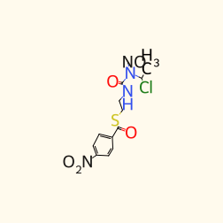 CC(Cl)N(N=O)C(=O)NCCSC(=O)c1ccc([N+](=O)[O-])cc1